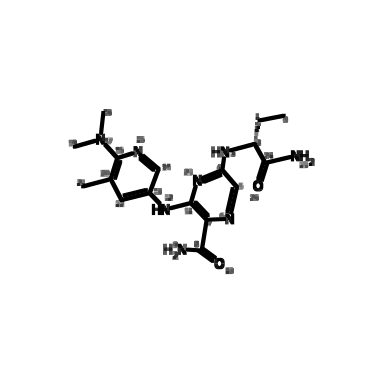 CC[C@@H](Nc1cnc(C(N)=O)c(Nc2cnc(N(C)C)c(C)c2)n1)C(N)=O